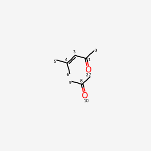 CC(=O)C=C(C)C.CC(C)=O